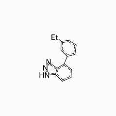 CCc1cccc(-c2cccc3[nH]nnc23)c1